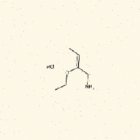 C/C=C(/[CH]N)OCC.Cl